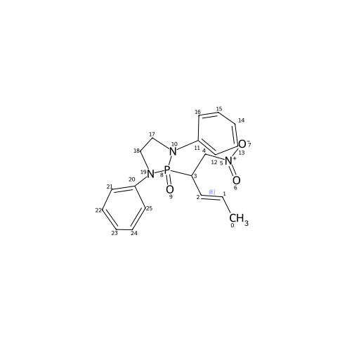 C/C=C/C(C[N+](=O)[O-])P1(=O)N(c2ccccc2)CCN1c1ccccc1